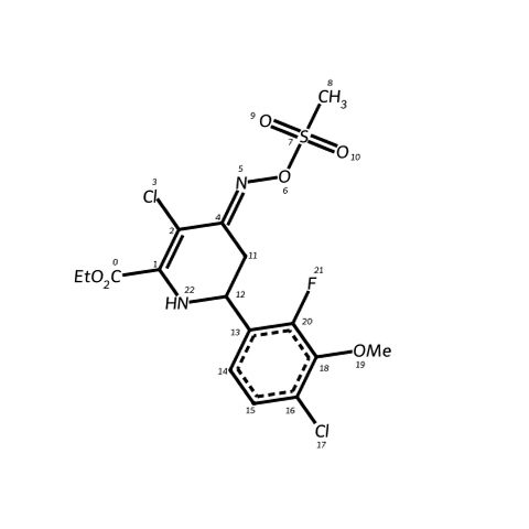 CCOC(=O)C1=C(Cl)/C(=N/OS(C)(=O)=O)CC(c2ccc(Cl)c(OC)c2F)N1